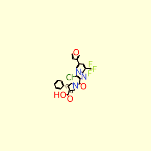 O=C(O)[C@@H]1CN(C(=O)c2nc3c(C(F)(F)F)cc(-c4ccoc4)cn3c2Cl)C[C@H]1c1ccccc1